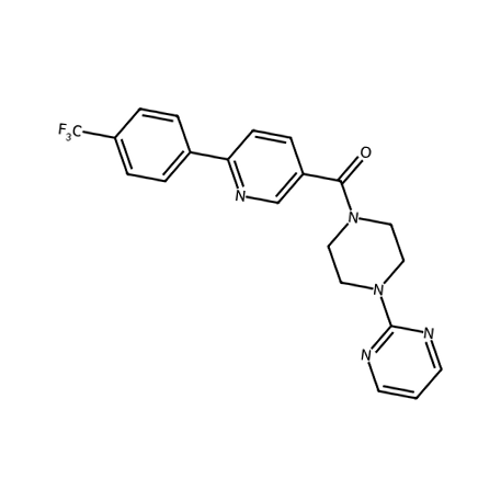 O=C(c1ccc(-c2ccc(C(F)(F)F)cc2)nc1)N1CCN(c2ncccn2)CC1